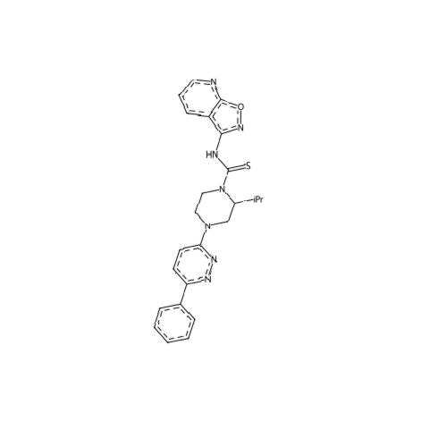 CC(C)C1CN(c2ccc(-c3ccccc3)nn2)CCN1C(=S)Nc1noc2ncccc12